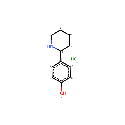 Cl.Oc1ccc(C2CCCCN2)cc1